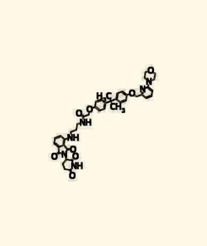 CC(C)(c1ccc(OCC(=O)NCCCNc2cccc3c2C(=O)N(C2CCC(=O)NC2=O)C3=O)cc1)c1ccc(OCc2cccc(N3CCOCC3)n2)cc1